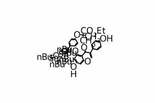 CCC[CH2][Sn]([CH2]CCC)([CH2]CCC)[O][Sn]([CH2]CCC)([CH2]CCC)[CH2]CCC.CCOC(=O)C(C)(C)Oc1ccc(Cl)cc1.O=c1c(-c2ccc(O)cc2)coc2cc(O)cc(O)c12